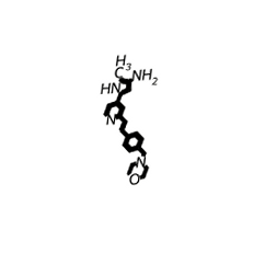 Cc1[nH]c(-c2ccnc(/C=C/c3ccc(CN4CCOCC4)cc3)c2)cc1N